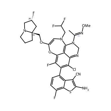 CO/N=C(\C)N1CN=c2c(Cl)c(-c3ccc(F)c4sc(N)c(C#N)c34)c(F)c3c2=C1N(CC(F)F)C=C(OC[C@@]12CCCN1C[C@H](F)C2)O3